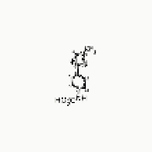 O=C(O)Nc1ccc(-c2ncn(C(F)(F)F)n2)cc1